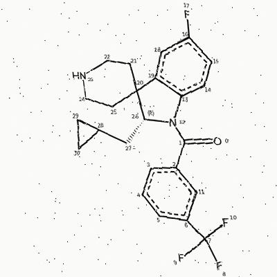 O=C(c1cccc(C(F)(F)F)c1)N1c2ccc(F)cc2C2(CCNCC2)[C@H]1CC1CC1